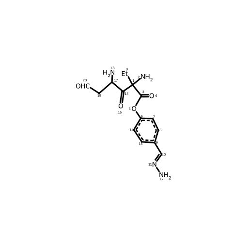 CCC(N)(C(=O)Oc1ccc(C=NN)cc1)C(=O)C(N)CC=O